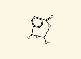 O=C1OCC(O)OC(=O)c2ccc1cc2